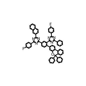 Fc1ccc(-c2nc(-c3ccc(-c4ccc5c(c4)OC(c4ccccc4)(c4ccccc4)c4ccccc4-5)c(-c4nc(-c5ccccc5)nc(-c5ccc(F)cc5)n4)c3)nc(-c3ccc4ccccc4c3)n2)cc1